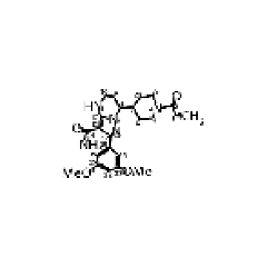 C=CC(=O)N1CCC(C2CCNc3c(C(N)=O)c(-c4cc(OC)cc(OC)c4)nn32)CC1